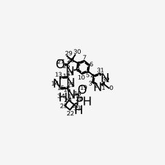 Cc1ncc(-c2ccc3c(c2)N(c2cncc(N4C(=O)P[C@H]5CC[C@H]54)n2)C(=O)C3(C)C)cn1